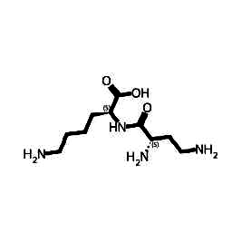 NCCCC[C@H](NC(=O)[C@@H](N)CCN)C(=O)O